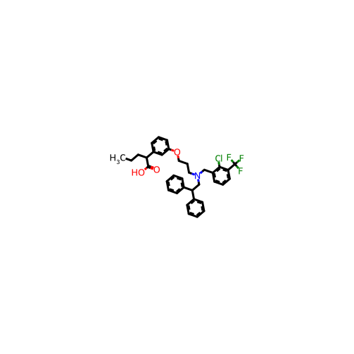 CCCC(C(=O)O)c1cccc(OCCCN(Cc2cccc(C(F)(F)F)c2Cl)CC(c2ccccc2)c2ccccc2)c1